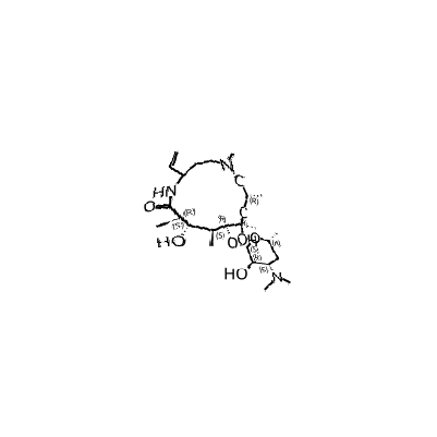 C=CC1CCN(C)C[C@H](C)C[C@@](C)(O)[C@H](O[C@@H]2O[C@H](C)C[C@H](N(C)C)[C@H]2O)[C@@H](C)[C@H](O)[C@@H](C)C(=O)N1